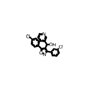 OC(c1cccnc1)c1c(-c2cccc(Cl)c2)noc1-c1ccc(Cl)cc1